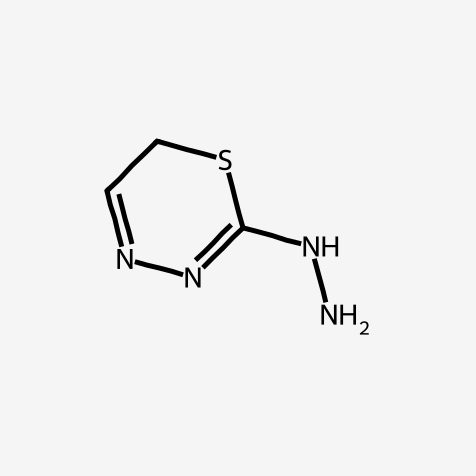 NNC1=NN=CCS1